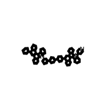 c1ccc(-c2cc3c4ccccc4c4c(c5ccccc5n4-c4cccc(-c5ccc(-c6ccc(-c7cc8c9ccccc9c9c(c%10ccccc%10n9-c9ccncc9)c8c8ccccc78)cc6)cc5)c4)c3c3ccccc23)cc1